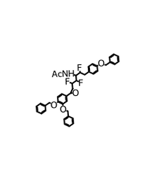 CC(=O)NC(C(F)Cc1ccc(OCc2ccccc2)cc1)C(F)C(F)C1OC1c1ccc(OCc2ccccc2)c(OCc2ccccc2)c1